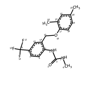 CNC(=O)Nc1ccc(C(F)(F)F)cc1COc1ccc(C)cc1C